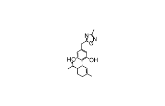 C=C(C)[C@@H]1CCC(C)=C[C@H]1c1c(O)cc(Cc2nc(C)no2)cc1O